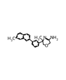 Cc1ccc2ccc(-c3cccc(C4(C)COCC(N)=N4)c3)cc2c1